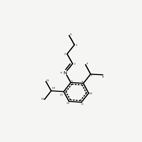 CCCC=Nc1c(C(C)C)cccc1C(C)C